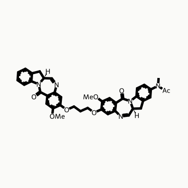 COc1cc2c(cc1OCCCOc1cc3c(cc1OC)C(=O)N1c4ccc(N(C)C(C)=O)cc4C[C@H]1C=N3)N=C[C@@H]1Cc3ccccc3N1C2=O